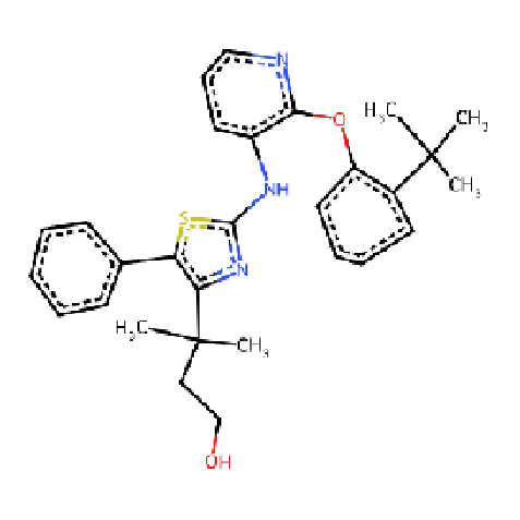 CC(C)(C)c1ccccc1Oc1ncccc1Nc1nc(C(C)(C)CCO)c(-c2ccccc2)s1